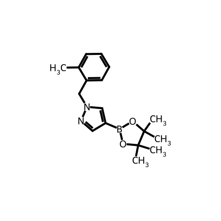 Cc1ccccc1Cn1cc(B2OC(C)(C)C(C)(C)O2)cn1